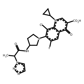 CC(C(=O)NC1CCN(c2c(F)cc3c(=O)c(C(=O)O)cn(C4CC4)c3c2Cl)C1)n1ccnn1